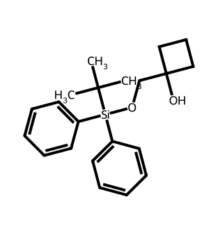 CC(C)(C)[Si](OCC1(O)CCC1)(c1ccccc1)c1ccccc1